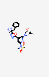 COCCN(C[C@@H]1C[C@H]1C)c1cc(-c2nnc([C@](C)(N)Cc3ccccc3)o2)cc(N(C)S(C)(=O)=O)n1